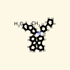 CC1C=CC2=C(C1)C(C)c1cc(N(c3ccc(-c4ccccc4)cc3)c3ccc4c(c3)C3(c5ccccc5-c5ccccc53)c3ccccc3-4)ccc12